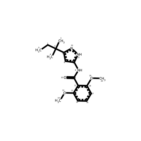 CCC(C)(C)c1cc(NC(=O)c2c(OC)cccc2OC)[nH]n1